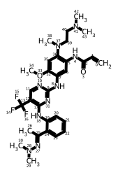 C=CC(=O)Nc1cc(Nc2ncc(C(F)(F)F)c(Nc3ccccc3/C(C)=N/N(C)C)n2)c(OC)cc1N(C)CCN(C)C